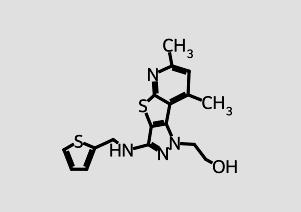 Cc1cc(C)c2c(n1)sc1c(NCc3cccs3)nn(CCO)c12